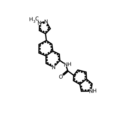 Cn1cc(-c2ccc3cnc(NC(=O)c4ccc5c[nH]cc5c4)cc3c2)cn1